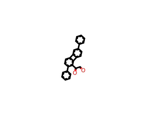 O=CC(=O)c1c(-c2ccccc2)ccc2c1-c1ccc(-c3ccccc3)cc1-2